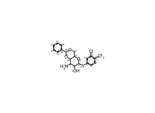 NC1C(O)C(Sc2ccc(C(F)(F)F)c(Cl)c2)OC2COC(c3ccccc3)OC21